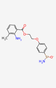 Cc1cccc(C(=O)OCCOc2ccc([S+](N)[O-])cc2)c1N